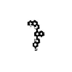 Brc1ccc2nc(-c3ccc(-c4ccc5ccc6cccnc6c5n4)c4ccccc34)ccc2c1